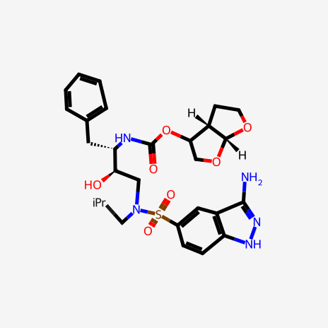 CC(C)CN(C[C@@H](O)[C@H](Cc1ccccc1)NC(=O)OC1CO[C@H]2OCC[C@@H]12)S(=O)(=O)c1ccc2[nH]nc(N)c2c1